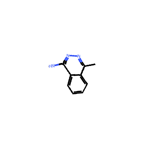 Cc1nnc([NH])c2ccccc12